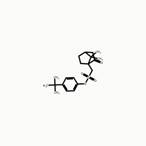 CC(C)(C)c1ccc(OS(=O)(=O)CC23CCC(CC2=O)C3(C)C)cc1